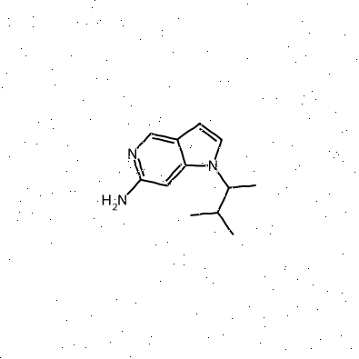 CC(C)C(C)n1ccc2cnc(N)cc21